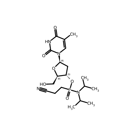 Cc1cn([C@H]2C[C@H](OP(=O)(CCC#N)N(C(C)C)C(C)C)[C@@H](CO)O2)c(=O)[nH]c1=O